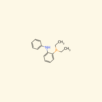 CCP(CC)c1ccccc1Nc1ccccc1